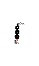 CCCCCCCCCCCC1CCC(c2ccc(-c3ccc(OCC(C)CC)cc3)cc2)CC1